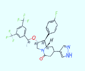 C[C@@H](O[C@H]1CN2C(=O)CC(c3cn[nH]c3)C[C@H]2[C@@H]1c1ccc(F)cc1)c1cc(C(F)(F)F)cc(C(F)(F)F)c1